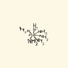 [NH2][Pd]([NH2])([NH2])([NH2])([NH2])[NH2]